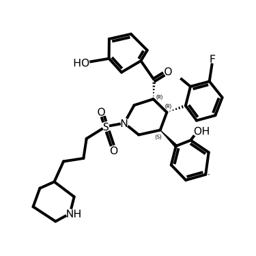 Cc1c(F)cccc1[C@H]1[C@@H](C(=O)c2cccc(O)c2)CN(S(=O)(=O)CCCC2CCCNC2)C[C@@H]1c1cc[c]cc1O